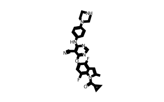 Cc1cc2c(F)c(Oc3ncnc(Nc4ccc(N5CCNCC5)cc4)c3C#N)cc(F)c2n1C(=O)C1CC1